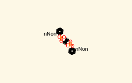 CCCCCCCCCc1ccccc1OP1OCC2(CO1)COP(Oc1ccccc1CCCCCCCCC)OC2